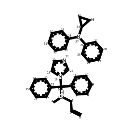 C=CC[SiH](C)C(c1ccccc1)(c1ccccc1)n1ccnc1.c1ccc(B(c2ccccc2)C2CC2)cc1